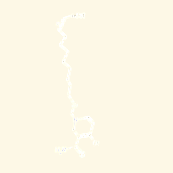 CCCCCCCC/C=C\CCCCCCCCOCN1C=CC(Cl)=C(C(N)=O)C1